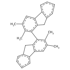 Cc1cc2c(c(-c3c(C)c(C)cc4c3Cc3ccccc3-4)c1C)Cc1ccccc1-2